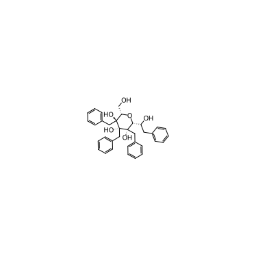 OC[C@@H]1O[C@H](C(O)Cc2ccccc2)[C@@](O)(Cc2ccccc2)[C@@](O)(Cc2ccccc2)[C@]1(O)Cc1ccccc1